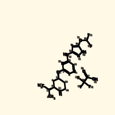 CC(C)[C@H]1C[C@@H](Oc2cncc(Nc3cc(OC(F)F)[nH]n3)n2)CCN1.O=C(O)C(F)(F)F